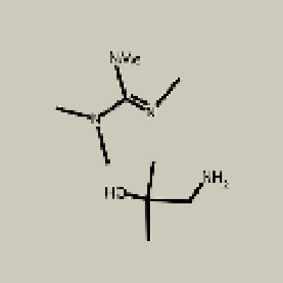 C/N=C(\NC)N(C)C.CC(C)(O)CN